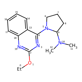 CCOc1nc(N2CCCC2N(C)C)c2ccccc2n1